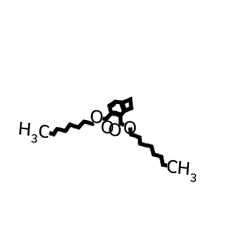 CCCCCCCCOC(=O)c1ccc2c(c1C(=O)OCCCCCCCC)CC2